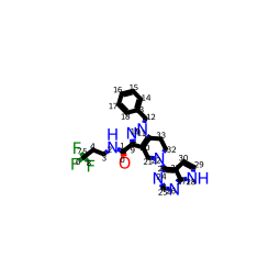 O=C(NCCC(F)(F)F)c1nn(Cc2ccccc2)c2c1CN(c1ncnc3[nH]ccc13)CC2